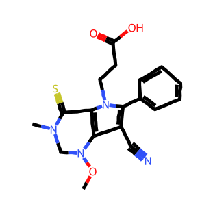 CON1CN(C)C(=S)c2c1c(C#N)c(-c1ccccc1)n2CCC(=O)O